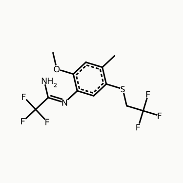 COc1cc(C)c(SCC(F)(F)F)cc1/N=C(\N)C(F)(F)F